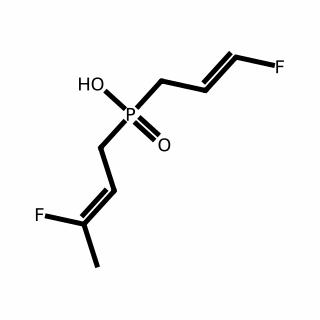 CC(F)=CCP(=O)(O)CC=CF